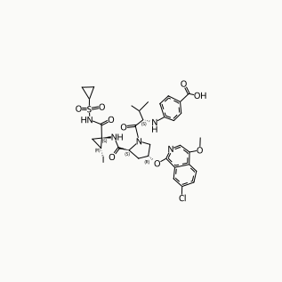 COc1cnc(O[C@@H]2C[C@@H](C(=O)N[C@]3(C(=O)NS(=O)(=O)C4CC4)C[C@H]3I)N(C(=O)[C@@H](Nc3ccc(C(=O)O)cc3)C(C)C)C2)c2cc(Cl)ccc12